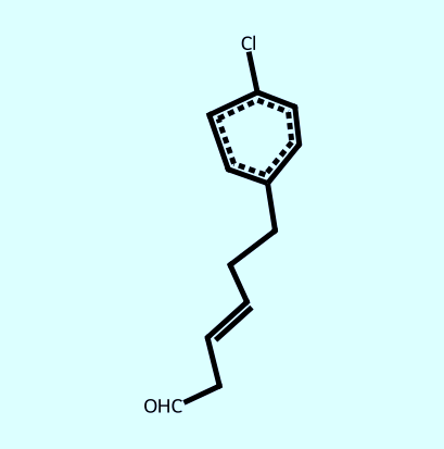 O=CCC=CCCc1ccc(Cl)cc1